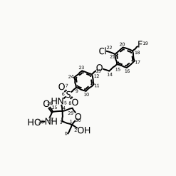 CC1(O)CC(NS(=O)(=O)c2ccc(OCc3ccc(F)cc3Cl)cc2)(C(=O)NO)CO1